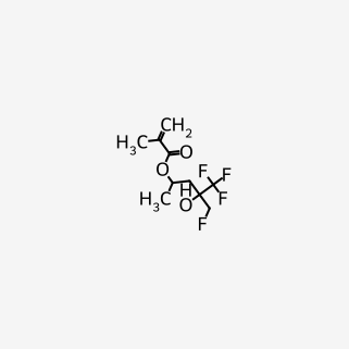 C=C(C)C(=O)OC(C)CC(O)(CF)C(F)(F)F